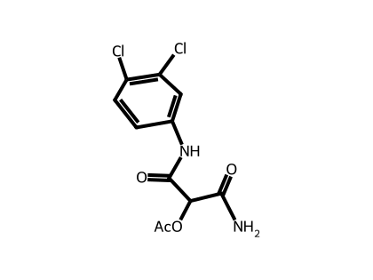 CC(=O)OC(C(N)=O)C(=O)Nc1ccc(Cl)c(Cl)c1